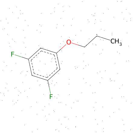 C[CH]COc1cc(F)cc(F)c1